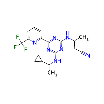 CC(CC#N)Nc1nc(NC(C)C2CC2)nc(-c2cccc(C(F)(F)F)n2)n1